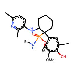 CCNP(=O)(OCC)C1(c2cc(C)c(O)c(OC)c2)CCCCC1Nc1ccc(C)nc1C